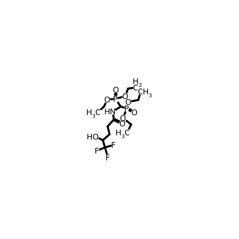 CCOP(=O)(OCC)C(NC(=O)CCC(O)C(F)(F)F)P(=O)(OCC)OCC